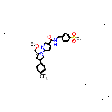 CCOC[C@@H]1CC(c2ccc(C(F)(F)F)cc2)CN1c1ccc(C(=O)NCc2ccc(S(=O)(=O)CC)cc2)cn1